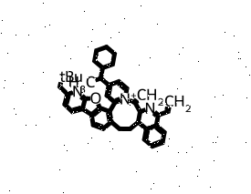 C=CC1=NC2C(=C)[n+]3ccc(C(C)C4CCCCC4)cc3-c3c(ccc4c3oc3nc(CC(C)(C)C)ccc34)CCC2c2ccccc21